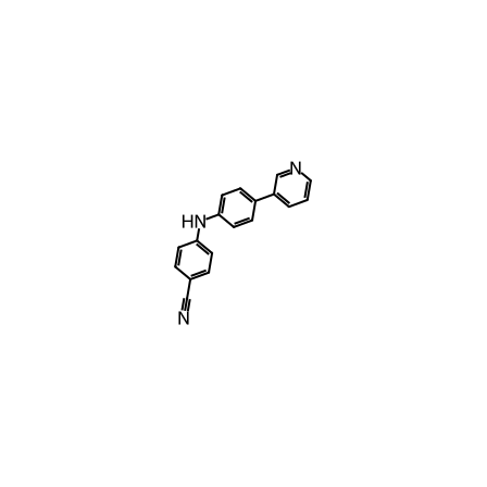 N#Cc1ccc(Nc2ccc(-c3cccnc3)cc2)cc1